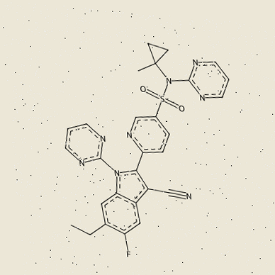 CCc1cc2c(cc1F)c(C#N)c(-c1ccc(S(=O)(=O)N(c3ncccn3)C3(C)CC3)cn1)n2-c1ncccn1